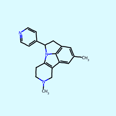 Cc1cc2c3c(c1)c1c(n3C(c3ccncc3)C2)CCN(C)C1